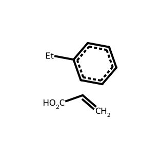 C=CC(=O)O.CCc1ccccc1